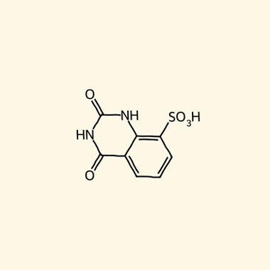 O=c1[nH]c(=O)c2cccc(S(=O)(=O)O)c2[nH]1